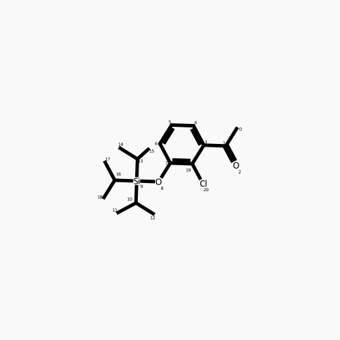 CC(=O)c1cccc(O[Si](C(C)C)(C(C)C)C(C)C)c1Cl